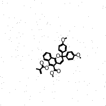 C=C(C)C(=O)Oc1c(C(=O)OC)c2c(c3ccccc13)OC(c1ccc(OC)cc1)(c1ccc(OC)cc1)C=C2